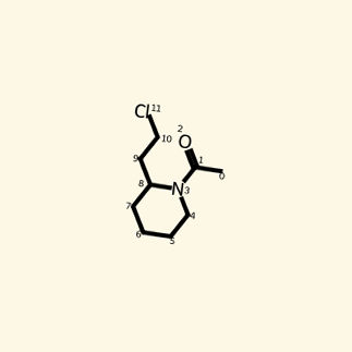 CC(=O)N1CCCCC1CCCl